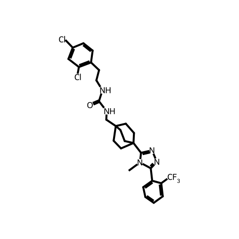 Cn1c(-c2ccccc2C(F)(F)F)nnc1C12CCC(CNC(=O)NCCc3ccc(Cl)cc3Cl)(CC1)CC2